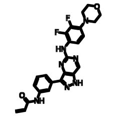 C=CC(=O)Nc1cccc(-c2n[nH]c3cnc(Nc4ccc(N5CCOCC5)c(F)c4F)nc23)c1